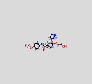 O=C(Nc1ccc(OC(F)(F)F)cc1)c1cnc(OCCO)c(-c2ccn[nH]2)c1